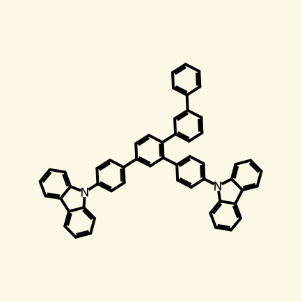 c1ccc(-c2cccc(-c3ccc(-c4ccc(-n5c6ccccc6c6ccccc65)cc4)cc3-c3ccc(-n4c5ccccc5c5ccccc54)cc3)c2)cc1